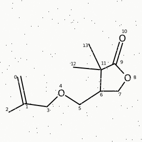 C=C(C)COCC1COC(=O)C1(C)C